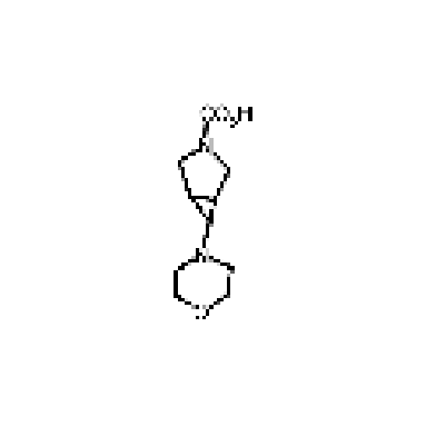 O=C(O)N1CC2C(C1)C2N1CCOCC1